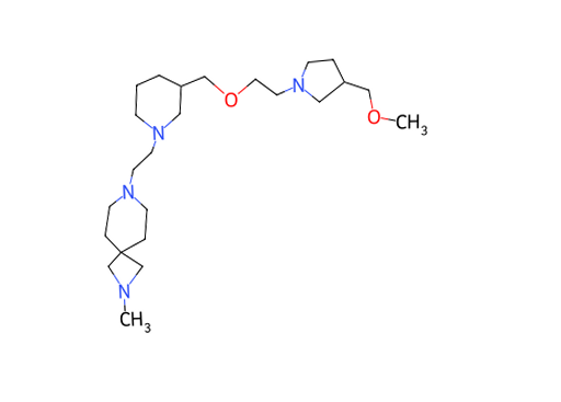 COCC1CCN(CCOCC2CCCN(CCN3CCC4(CC3)CN(C)C4)C2)C1